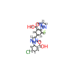 O=C(O)c1ccc(Cl)cc1-n1ncc(-c2cc(F)c(-n3nccn3)c(C(=O)O)c2)n1